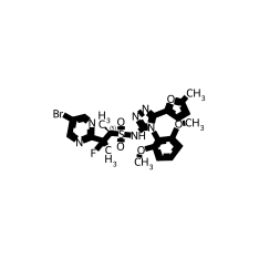 COc1cccc(OC)c1-n1c(NS(=O)(=O)[C@@H](C)C(C)(F)c2ncc(Br)cn2)nnc1-c1ccc(C)o1